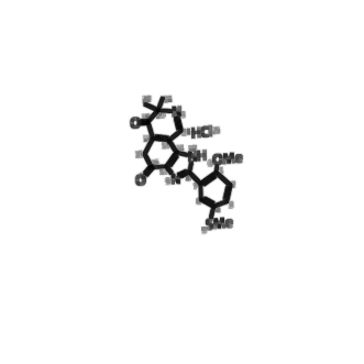 COc1ccc(SC)cc1-c1nc2c([nH]1)C1=C(CC2=O)C(=O)C(C)(C)N=C1.Cl